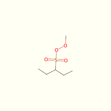 CCC(CC)S(=O)(=O)OOC